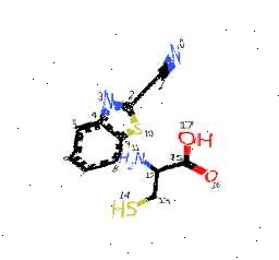 N#Cc1nc2ccccc2s1.NC(CS)C(=O)O